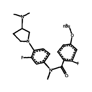 CCCCOc1ccc(C(=O)N(C)c2ccc(N3CCC(N(C)C)C3)c(F)c2)c(F)c1